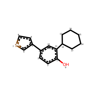 Oc1ccc(-c2[c]scc2)cc1C1CCCCC1